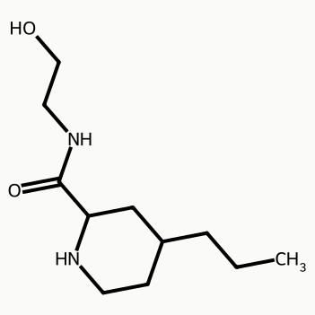 CCCC1CCNC(C(=O)NCCO)C1